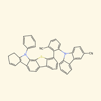 N#Cc1ccc2c(c1)c1ccccc1n2-c1cccc(C#N)c1-c1cccc2c1sc1c2ccc2c3c(n(-c4ccccc4)c21)CCC=C3